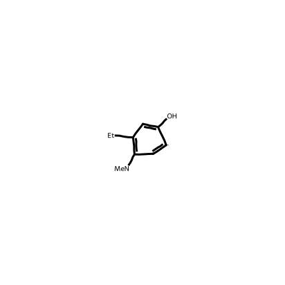 CCc1cc(O)[c]cc1NC